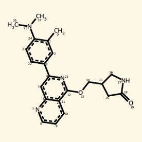 Cc1cc(-c2cc3ncccc3c(OCC3CNC(=O)C3)n2)ccc1N(C)C